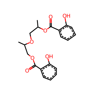 CC(COC(=O)c1ccccc1O)OCC(C)OC(=O)c1ccccc1O